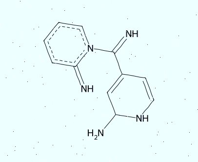 N=C(C1=CC(N)NC=C1)n1ccccc1=N